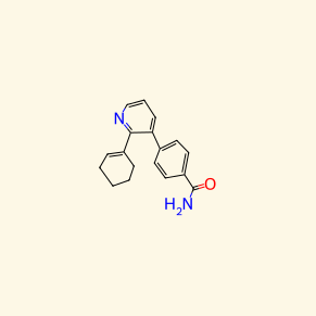 NC(=O)c1ccc(-c2cccnc2C2=CCCCC2)cc1